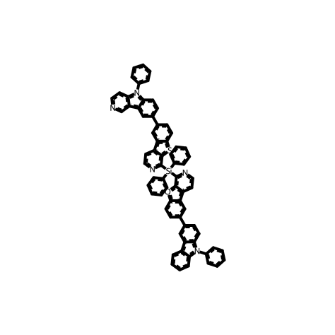 c1ccc(-n2c3ccccc3c3cc(-c4ccc5oc6c([Si](c7ccccc7)(c7ccccc7)c7nccc8c7sc7ccc(-c9ccc%10c(c9)c9cnccc9n%10-c9ccccc9)cc78)nccc6c5c4)ccc32)cc1